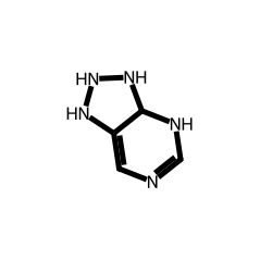 C1=NC=C2NNNC2N1